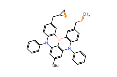 C=PCc1ccc2c(c1)B1c3cc(CC4C=P4)ccc3N(c3ccccc3)c3cc(C(C)(C)C)cc(c31)N2c1ccccc1